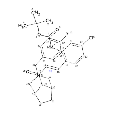 CC(C)(C)OC(=O)Nc1cc(Cl)ccc1/C=C/C(=O)N1C2CCC1CN(Cc1ccc(F)cc1)C2